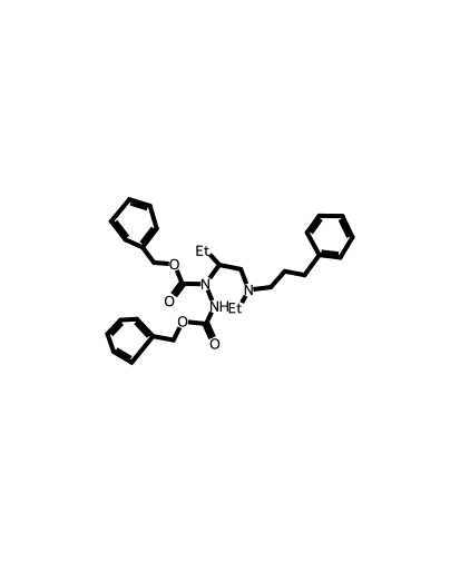 CCC(CN(CC)CCCc1ccccc1)N(NC(=O)OCc1ccccc1)C(=O)OCc1ccccc1